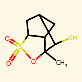 CC12OS(=O)(=O)C3CC(CC31)C2S